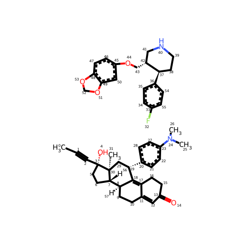 CC#C[C@]1(O)CC[C@H]2[C@@H]3CCC4=CC(=O)CCC4=C3[C@@H](c3ccc(N(C)C)cc3)C[C@@]21C.Fc1ccc([C@@H]2CCNC[C@H]2COc2ccc3c(c2)OCO3)cc1